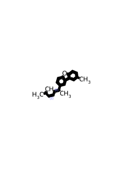 C=C(C)/C=C\C=C(/C)c1ccc2oc3ccc(C)cc3c2c1